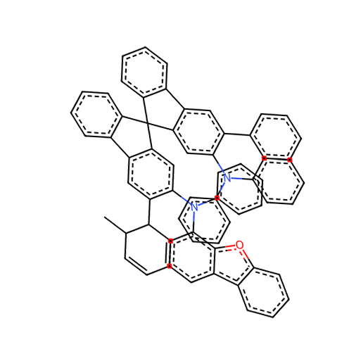 CC1C=CC=CC1c1cc2c(cc1N(c1ccccc1)c1cccc3c1oc1ccccc13)C1(c3ccccc3-c3cc(-c4ccccc4)c(N(c4ccccc4)c4ccccc4)cc31)c1ccccc1-2